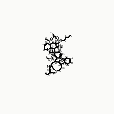 CCCCOCC1(O)[C@H](OC(C)=O)[C@]2(CC)C=CCN3CC[C@@]4(c5cc([C@@]6(C(=O)OC)C[C@@H]7C=C(CC)CN(CCc8c6[nH]c6ccccc86)C7)c(OC)cc5N(C)[C@@H]14)[C@@H]32